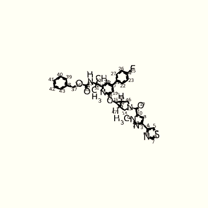 Cn1nc(-c2cscn2)cc1C(=O)N1C[C@@H]2C(Oc3cc(-c4ccc(F)cc4)cc(C(C)(C)NC(=O)OCc4ccccc4)n3)[C@@H]2C1